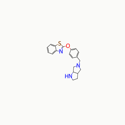 c1ccc2sc(Oc3ccc(CN4CC5CCNC5C4)cc3)nc2c1